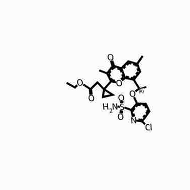 CCOC(=O)CC1(c2oc3c([C@@H](C)Oc4ccc(Cl)nc4S(N)(=O)=O)cc(C)cc3c(=O)c2C)CC1